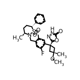 CO[C@]1(C)C[C@](c2n[nH]c(=O)o2)(c2cc(F)c(CN3[C@@H](C)CC[C@H](c4ccccc4)S3(=O)=O)cc2F)C1